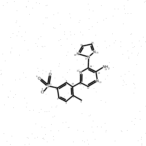 Cc1ccc(S(=O)(=O)Cl)cc1-c1cnc(N)c(-n2nccn2)n1